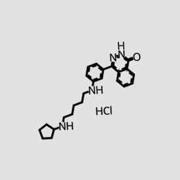 Cl.O=c1[nH]nc(-c2cccc(NCCCCCNC3CCCC3)c2)c2ccccc12